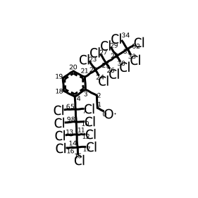 [O]CCc1c(C(Cl)(Cl)C(Cl)(Cl)C(Cl)(Cl)C(Cl)(Cl)Cl)cccc1C(Cl)(Cl)C(Cl)(Cl)C(Cl)(Cl)C(Cl)(Cl)Cl